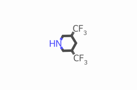 FC(F)(F)C1CNCC(C(F)(F)F)C1